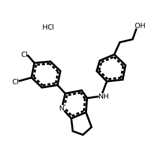 Cl.OCCc1ccc(Nc2cc(-c3ccc(Cl)c(Cl)c3)nc3c2CCC3)cc1